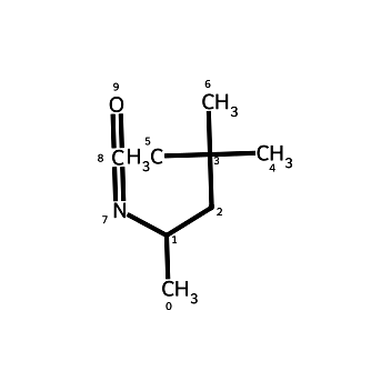 CC(CC(C)(C)C)N=C=O